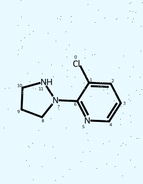 Clc1cccnc1N1CCCN1